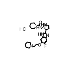 Cl.O=C(NN1NC=CC1c1nc2cc(F)c(OCCN3CCCCC3)cc2[nH]1)N1CCCCC1